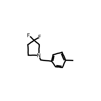 Cc1ccc(CN2CCC(F)(F)C2)cc1